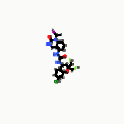 CC(I)N1C(=O)NCc2c(NC(=O)N[C@@H]3CC(CF)(CF)Oc4cc(Cl)ccc43)cccc21